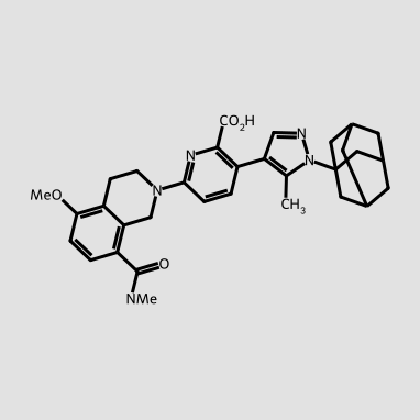 CNC(=O)c1ccc(OC)c2c1CN(c1ccc(-c3cnn(C45CC6CC(CC(C6)C4)C5)c3C)c(C(=O)O)n1)CC2